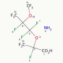 N.O=C(O)C(F)(OC(F)(F)C(F)(OC(F)(F)F)C(F)(F)F)C(F)(F)F